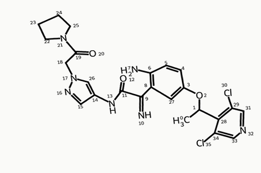 CC(Oc1ccc(N)c(C(=N)C(=O)Nc2cnn(CC(=O)N3CCCC3)c2)c1)c1c(Cl)cncc1Cl